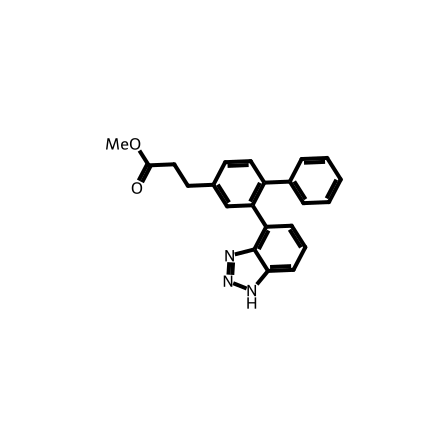 COC(=O)CCc1ccc(-c2ccccc2)c(-c2cccc3[nH]nnc23)c1